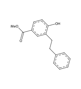 COC(=O)c1ccc(O)c(CCc2ccccc2)c1